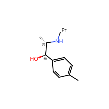 Cc1ccc([C@@H](O)[C@H](C)NC(C)C)cc1